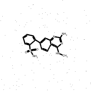 CNc1nc(N)nc2cc(-c3ccccc3S(N)(=O)=O)ccc12